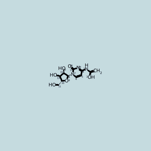 C=C(O)Nc1ccn([C@@H]2O[C@H](CO)C(O)[C@H]2O)c(=O)n1